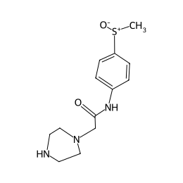 C[S+]([O-])c1ccc(NC(=O)CN2CCNCC2)cc1